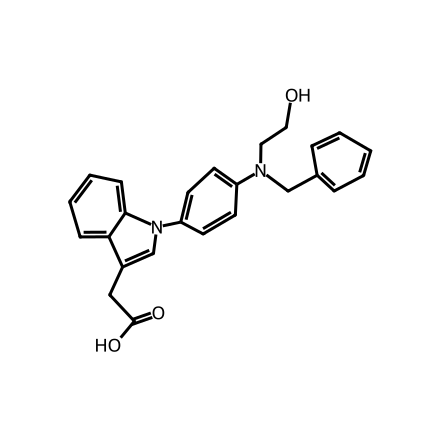 O=C(O)Cc1cn(-c2ccc(N(CCO)Cc3ccccc3)cc2)c2ccccc12